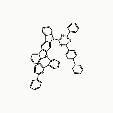 C1=CCC(c2ccc(-c3nc(-c4ccccc4)nc(-n4c5ccccc5c5cc6c7ccccc7n(-c7ccccc7-c7cccc(-c8ccccc8)n7)c6cc54)n3)cc2)C=C1